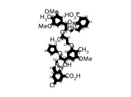 COc1cc([C@@H](O)[C@H](Cn2cc3cccc(C(=O)O)c3n2)OC(C)CCOc2cc([C@@H](O)[C@H](Cn3cc4cc(Cl)cc(C(=O)O)c4n3)OC3CCCC3)cc(OC)c2C)cc(OC)c1C